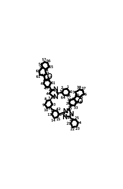 c1ccc(-c2nc(-c3cccc(-c4cccc(-c5nc(-c6ccccc6)nc(-c6ccc7c(c6)oc6ccccc67)n5)c4)c3)cc(-c3ccc4c(c3)oc3c5ccccc5ccc43)n2)cc1